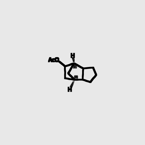 CC(=O)OC1C[C@H]2C[C@@H]1C1CCCC12